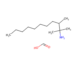 CCCCCCCCC(C)C(C)(C)N.O=CO